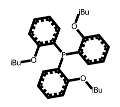 CCC(C)Oc1ccccc1P(c1ccccc1OC(C)CC)c1ccccc1OC(C)CC